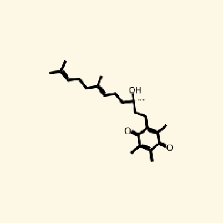 CC(C)=CCC/C(C)=C/CC[C@@](C)(O)CCC1=C(C)C(=O)C(C)=C(C)C1=O